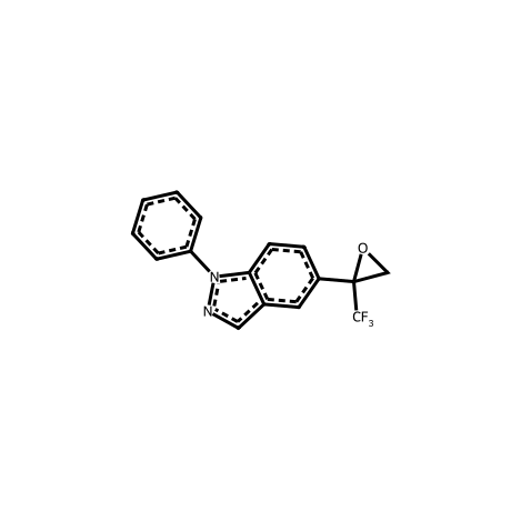 FC(F)(F)C1(c2ccc3c(cnn3-c3ccccc3)c2)CO1